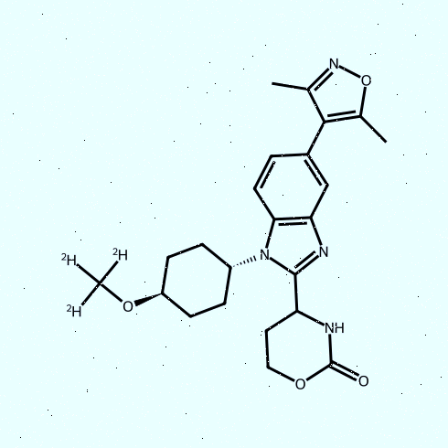 [2H]C([2H])([2H])O[C@H]1CC[C@H](n2c(C3CCOC(=O)N3)nc3cc(-c4c(C)noc4C)ccc32)CC1